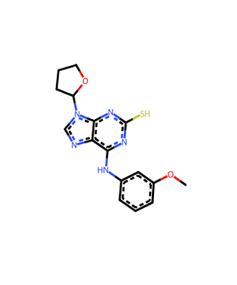 COc1cccc(Nc2nc(S)nc3c2ncn3C2CCCO2)c1